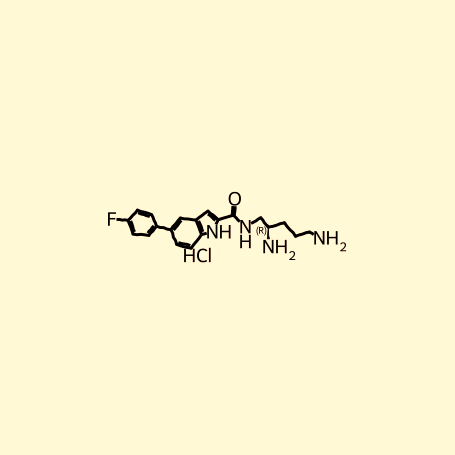 Cl.NCCC[C@@H](N)CNC(=O)c1cc2cc(-c3ccc(F)cc3)ccc2[nH]1